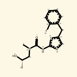 C[C@H](O)CN(C)C(=O)Nc1ncc(Cc2ccccc2F)s1